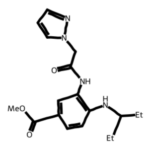 CCC(CC)Nc1ccc(C(=O)OC)cc1NC(=O)Cn1cccn1